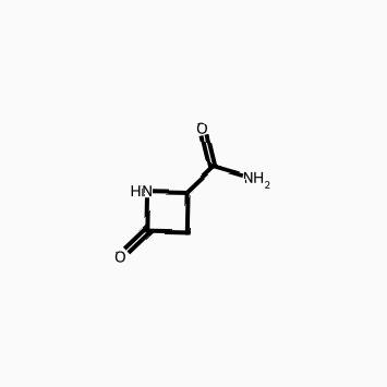 NC(=O)C1CC(=O)N1